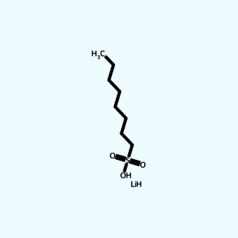 CCCCCCCCS(=O)(=O)O.[LiH]